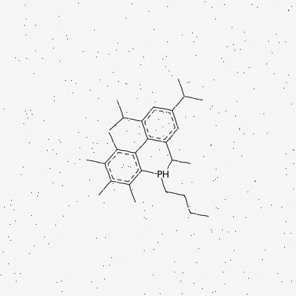 CCCCPc1c(C)c(C)c(C)c(C)c1-c1c(C(C)C)cc(C(C)C)cc1C(C)C